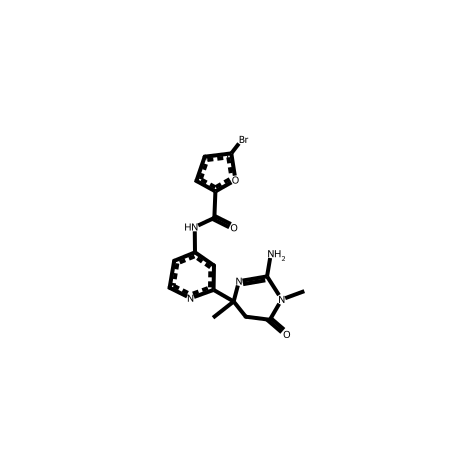 CN1C(=O)CC(C)(c2cc(NC(=O)c3ccc(Br)o3)ccn2)N=C1N